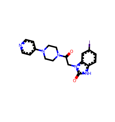 O=C(Cn1c(=O)[nH]c2ccc(I)cc21)N1CCN(c2ccncc2)CC1